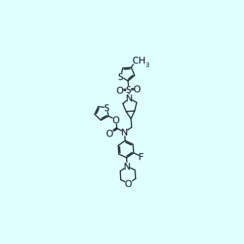 Cc1csc(S(=O)(=O)N2CC3C(CN(C(=O)Oc4cccs4)c4ccc(N5CCOCC5)c(F)c4)C3C2)c1